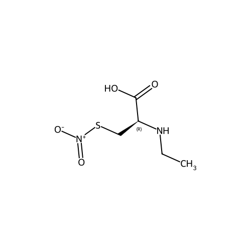 CCN[C@@H](CS[N+](=O)[O-])C(=O)O